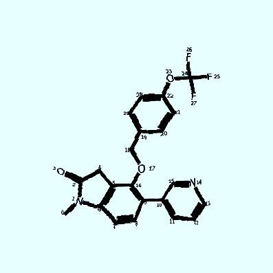 CN1C(=O)Cc2c1ccc(-c1cccnc1)c2OCc1ccc(OC(F)(F)F)cc1